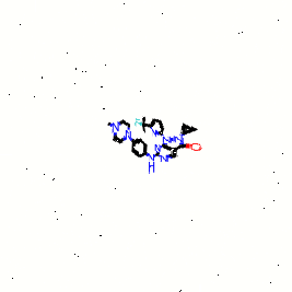 CN1CCN(c2ccc(Nc3ncc4c(=O)n(C5CC5)n(-c5cccc(C(C)(C)F)n5)c4n3)cc2)CC1